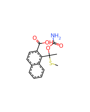 CSC(C)(OC(N)=O)c1c(C(=O)O)ccc2ccccc12